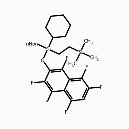 CCCCCCCCC[Si](CC[Si](C)(C)C)(Oc1c(F)c(F)c2c(F)[c]c(F)c(F)c2c1F)C1CCCCC1